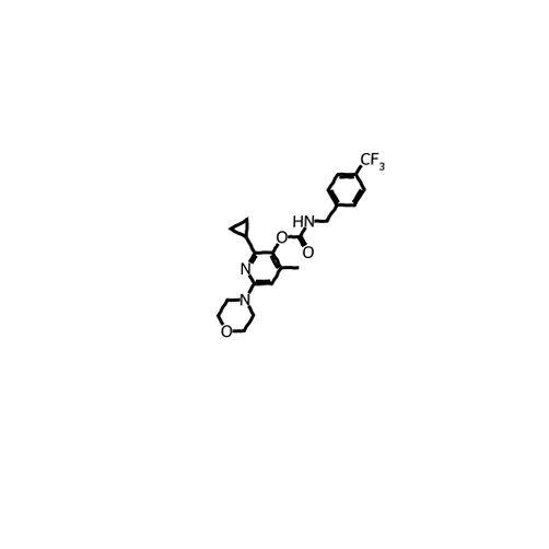 Cc1cc(N2CCOCC2)nc(C2CC2)c1OC(=O)NCc1ccc(C(F)(F)F)cc1